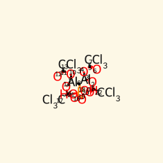 O=C([O][Al]([O]C(=O)C(Cl)(Cl)Cl)[CH]([Al]([O]C(=O)C(Cl)(Cl)Cl)[O]C(=O)C(Cl)(Cl)Cl)P(=O)(O)O)C(Cl)(Cl)Cl